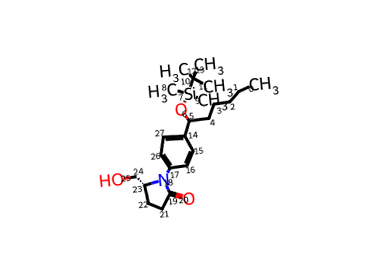 CCCCCC(O[Si](C)(C)C(C)(C)C)c1ccc(N2C(=O)CC[C@@H]2CO)cc1